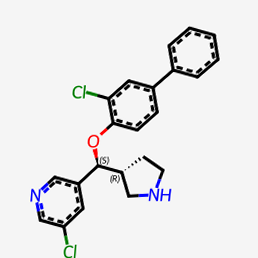 Clc1cncc([C@@H](Oc2ccc(-c3ccccc3)cc2Cl)[C@@H]2CCNC2)c1